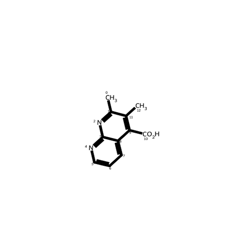 Cc1nc2ncccc2c(C(=O)O)c1C